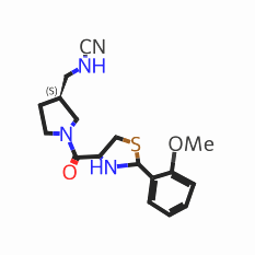 COc1ccccc1C1NC(C(=O)N2CC[C@@H](CNC#N)C2)CS1